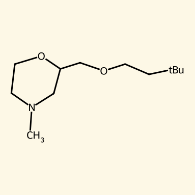 CN1CCOC(COCCC(C)(C)C)C1